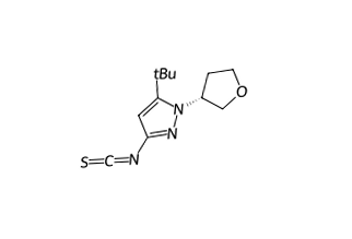 CC(C)(C)c1cc(N=C=S)nn1[C@@H]1CCOC1